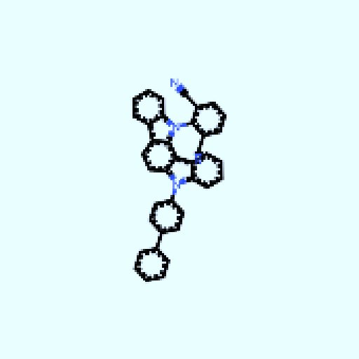 N#Cc1cccc(C#N)c1-n1c2ccccc2c2ccc3c(c4ccccc4n3-c3ccc(-c4ccccc4)cc3)c21